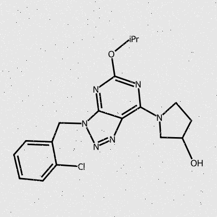 CC(C)Oc1nc(N2CCC(O)C2)c2nnn(Cc3ccccc3Cl)c2n1